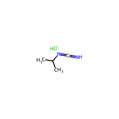 CC(C)N=C=N.Cl